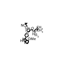 COc1ccnc2[nH]nc(C3CCN(c4cc(C(=O)N[C@H](C)CN(C)C)nc(OCC5(C#N)CC5)n4)CC3)c12